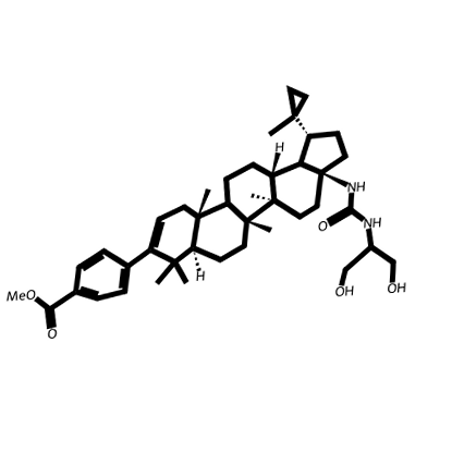 COC(=O)c1ccc(C2=CC[C@]3(C)C4CC[C@@H]5C6[C@H](C7(C)CC7)CC[C@]6(NC(=O)NC(CO)CO)CC[C@@]5(C)[C@]4(C)CC[C@H]3C2(C)C)cc1